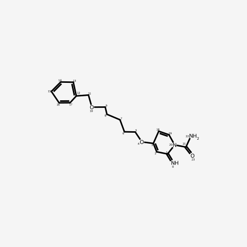 N=c1cc(OCCCCCOCc2ccccc2)ccn1C(N)=O